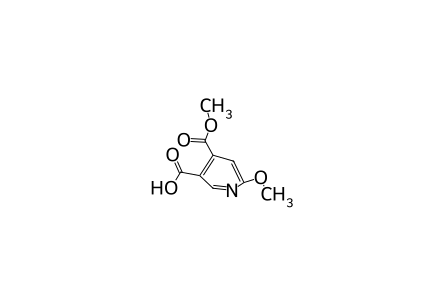 COC(=O)c1cc(OC)ncc1C(=O)O